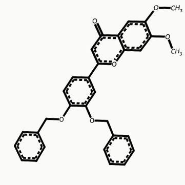 COc1cc2oc(-c3ccc(OCc4ccccc4)c(OCc4ccccc4)c3)cc(=O)c2cc1OC